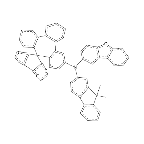 CC1(C)c2ccccc2-c2ccc(N(c3ccc4c(c3)-c3ccccc3-c3ccccc3C43c4ccccc4-c4ccccc43)c3ccc4oc5ccccc5c4c3)cc21